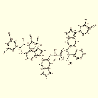 CC(C)[C@H](NC(=O)C(F)(F)Cc1cc2nncn2cc1-n1nnc2cc(O[C@H](c3cc(F)cc(F)c3)[C@H](C)NC(=O)C(C)(F)F)ccc21)[C@H](Oc1ccc2c(c1)nnn2-c1ccc(=O)n(C)c1)c1ccccc1